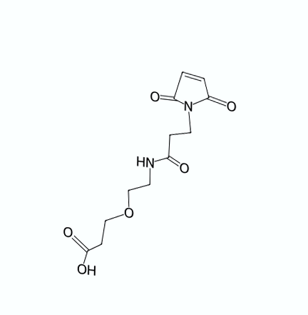 O=C(O)CCOCCNC(=O)CCN1C(=O)C=CC1=O